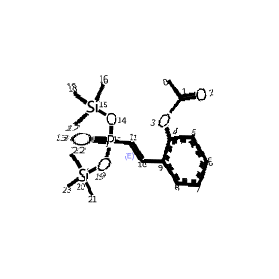 CC(=O)Oc1ccccc1/C=C/P(=O)(O[Si](C)(C)C)O[Si](C)(C)C